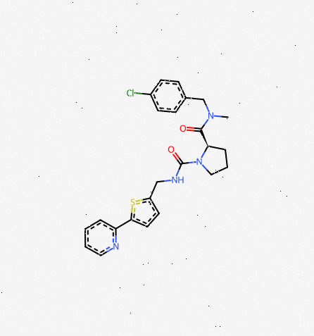 CN(Cc1ccc(Cl)cc1)C(=O)[C@H]1CCCN1C(=O)NCc1ccc(-c2ccccn2)s1